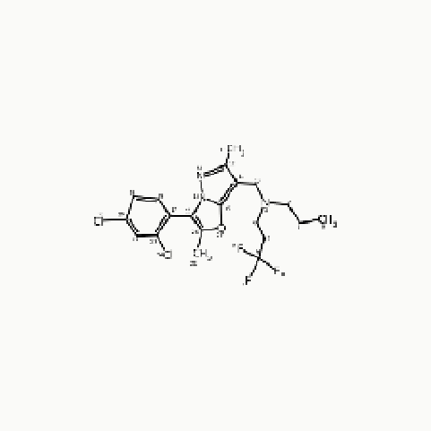 CCCN(CCC(F)(F)F)Cc1c(C)nn2c(-c3ccc(Cl)cc3Cl)c(C)oc12